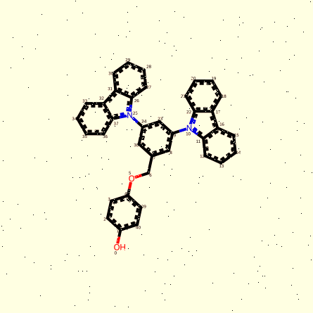 Oc1ccc(OCc2cc(-n3c4ccccc4c4ccccc43)cc(-n3c4ccccc4c4ccccc43)c2)cc1